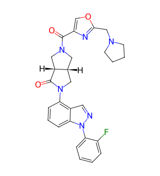 O=C(c1coc(CN2CCCC2)n1)N1C[C@@H]2CN(c3cccc4c3cnn4-c3ccccc3F)C(=O)[C@@H]2C1